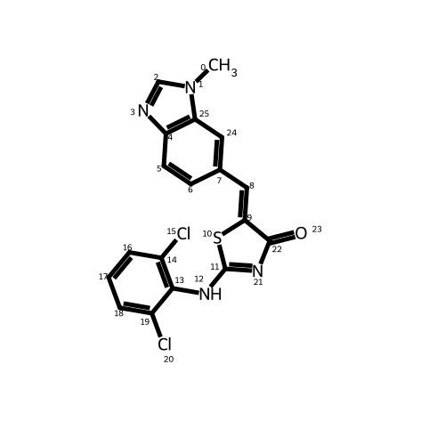 Cn1cnc2ccc(/C=C3\SC(Nc4c(Cl)cccc4Cl)=NC3=O)cc21